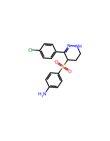 Nc1ccc(S(=O)(=O)C2CCNN=C2c2ccc(Cl)cc2)cc1